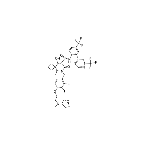 CN(CCOc1ccc(CN2C(=O)C(C(=O)Nc3ccc(C(F)(F)F)cc3C3=NC=NC(C(F)(F)F)C3)=C(O)C3(CCC3)N2C)c(F)c1F)C1CCOC1